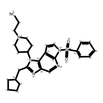 N#CCCN1CCC(n2c(CC3CCCC3)nc3cnc4c(ccn4S(=O)(=O)c4ccccc4)c32)CC1